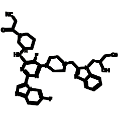 N#CCC(=O)N1CCC[C@@H](Nc2nc(-c3cnc4ccc(F)cn34)nc(N3CCN(Cc4nc5ccccc5n4CC(O)CO)CC3)c2F)C1